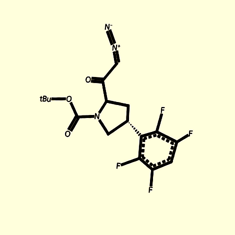 CC(C)(C)OC(=O)N1C[C@@H](c2c(F)c(F)cc(F)c2F)CC1C(=O)C=[N+]=[N-]